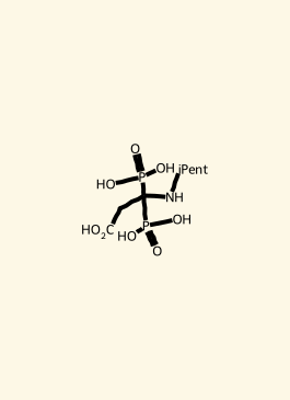 CCCC(C)NC(CC(=O)O)(P(=O)(O)O)P(=O)(O)O